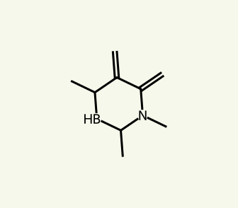 C=C1C(=C)N(C)C(C)BC1C